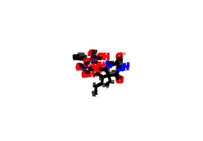 CCCC(C)C1(CC)C(=O)N=C([O-])NC1=O.O=P(O)(O)OP(=O)(O)O.[Na+]